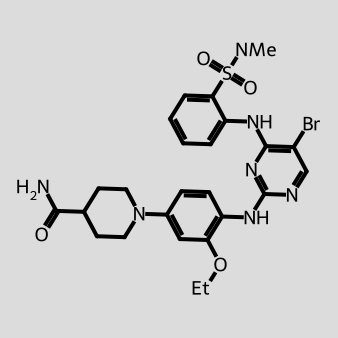 CCOc1cc(N2CCC(C(N)=O)CC2)ccc1Nc1ncc(Br)c(Nc2ccccc2S(=O)(=O)NC)n1